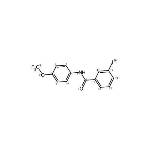 O=C(Nc1ccc(OC(F)(F)F)cc1)c1cccc(I)c1